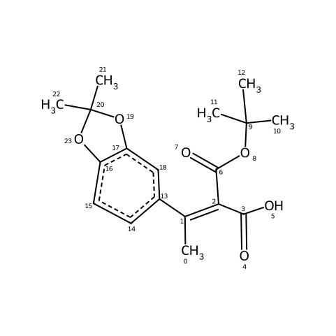 CC(=C(C(=O)O)C(=O)OC(C)(C)C)c1ccc2c(c1)OC(C)(C)O2